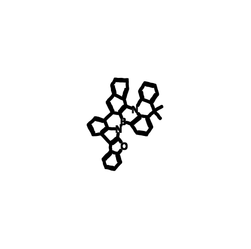 CC1(C)c2ccccc2N2c3c(cccc31)B1c3c(cc4ccccc4c32)-c2cccc3c4c5ccccc5oc4n1c23